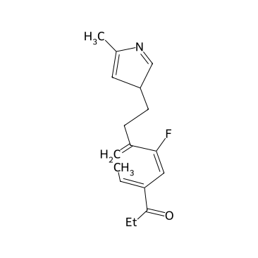 C=C(CCC1C=NC(C)=C1)/C(F)=C\C(=C/C)C(=O)CC